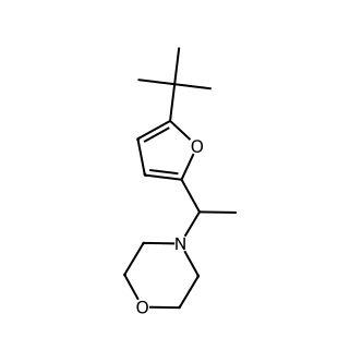 CC(c1ccc(C(C)(C)C)o1)N1CCOCC1